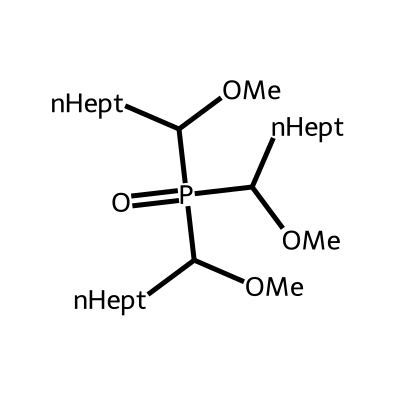 CCCCCCCC(OC)P(=O)(C(CCCCCCC)OC)C(CCCCCCC)OC